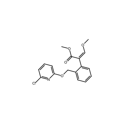 COC=C(C(=O)OC)c1ccccc1COc1cccc(Cl)n1